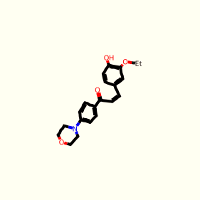 CCOc1cc(/C=C\C(=O)c2ccc(N3CCOCC3)cc2)ccc1O